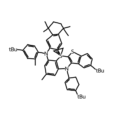 Cc1cc2c3c(c1)N(c1ccc(C(C)(C)C)cc1C)c1cc4c(cc1S31(=CC1)c1sc3ccc(C(C)(C)C)cc3c1N2C1=CC=C(C(C)(C)C)CC1)C(C)(C)CCC4(C)C